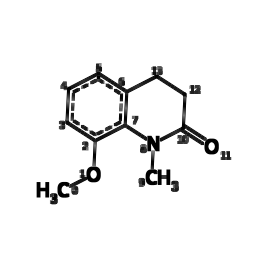 COc1cc[c]c2c1N(C)C(=O)CC2